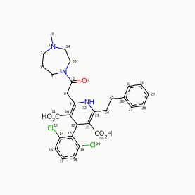 CN1CCCN(C(=O)CC2=C(C(=O)O)C(c3c(Cl)cccc3Cl)C(C(=O)O)=C(CCc3ccccc3)N2)CC1